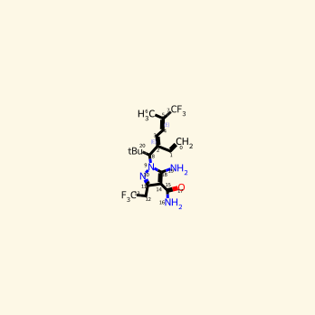 C=C/C(=C\C=C(/C)C(F)(F)F)C(n1nc(CC(F)(F)F)c(C(N)=O)c1N)C(C)(C)C